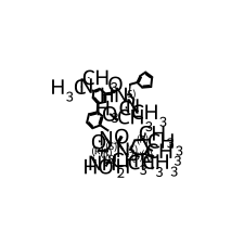 CCOc1c(CN2O[C@@H](CN)[C@@H]([C@H](C)O)[C@H]2C(=O)N[C@H]2C[C@@H](C)C(C)(C)[C@@H](C)[C@@H]2C)cccc1-c1cc(C(=O)N[C@@H](Cc2ccccc2)CN(C)C)cc(N(C)C)c1